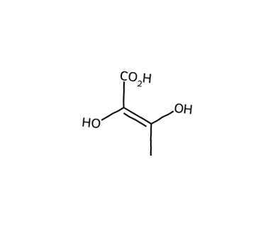 C/C(O)=C(\O)C(=O)O